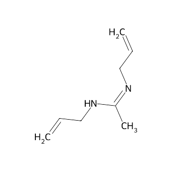 C=CCN=C(C)NCC=C